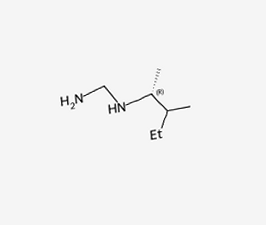 CCC(C)[C@@H](C)NCN